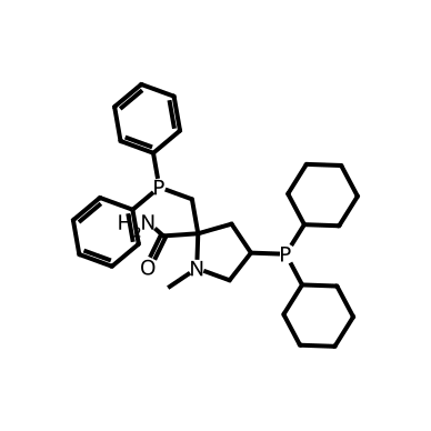 CN1CC(P(C2CCCCC2)C2CCCCC2)CC1(CP(c1ccccc1)c1ccccc1)C(N)=O